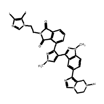 CC(=O)N1CCn2cnc(-c3ccc4c(c3)c(-c3cn(C)nc3-c3cccc5c3C(=O)N(CCn3cnc(I)c3I)C5=O)nn4C)c2C1